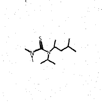 CC(C)CC(C)N(C(=S)N(C)I)C(C)C